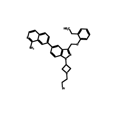 CC(C)CCN1CC(n2nc(COc3ccccc3CC(=O)O)c3cc(-c4ccc5ccnc(N)c5c4)ccc32)C1